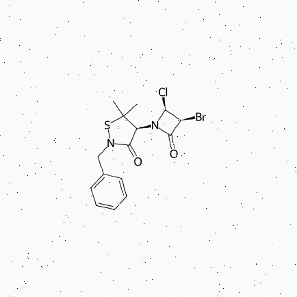 CC1(C)SN(Cc2ccccc2)C(=O)[C@@H]1N1C(=O)[C@H](Br)[C@@H]1Cl